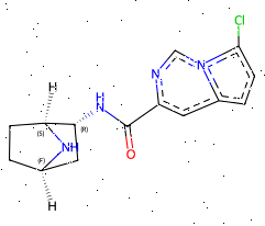 O=C(N[C@@H]1C[C@H]2CC[C@@H]1N2)c1cc2ccc(Cl)n2cn1